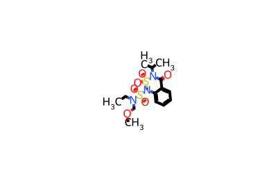 CCN(COC)S(=O)(=O)N1c2ccccc2C(=O)N(C(C)C)S1(=O)=O